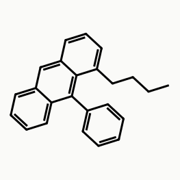 CCCCc1cccc2cc3ccccc3c(-c3ccccc3)c12